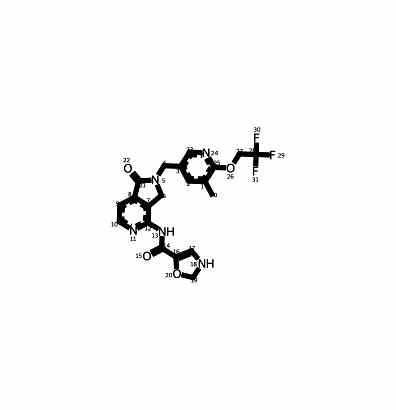 Cc1cc(CN2Cc3c(ccnc3NC(=O)C3=CNCO3)C2=O)cnc1OCC(F)(F)F